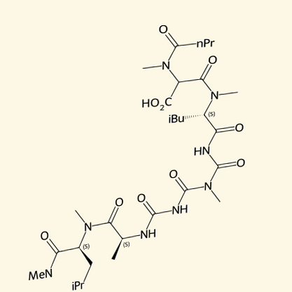 CCCC(=O)N(C)C(C(=O)O)C(=O)N(C)[C@H](C(=O)NC(=O)N(C)C(=O)NC(=O)N[C@@H](C)C(=O)N(C)[C@@H](CC(C)C)C(=O)NC)C(C)CC